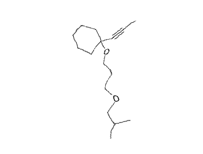 CC#CC1(OCCCOCC(C)C)CCCCC1